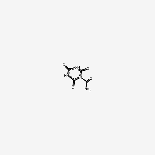 NC(=O)n1c(=O)[nH]c(=O)[nH]c1=O